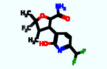 CC1C(c2ccc(C(F)F)nc2O)C(C(N)=O)OC1(C)C(F)(F)F